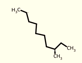 C[CH]CCCCC[C@H](C)CC